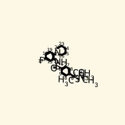 CN(C)SC(C)(C)c1ccc([S+]([O-])Nc2cc(F)ccc2N2CCCCC2)cc1